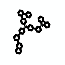 c1ccc(-c2ccccc2-c2ccc(N(c3ccc(-c4cccc(-c5ccc6ccccc6c5)c4)cc3)c3ccc(-c4cccc(-n5c6ccccc6c6ccccc65)c4)cc3)cc2)cc1